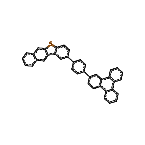 c1ccc2cc3c(cc2c1)sc1ccc(-c2ccc(-c4ccc5c6ccccc6c6ccccc6c5c4)cc2)cc13